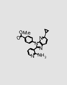 COC(=O)c1ccc(-n2c(-c3cccnc3N)nc3ccc(C4CC4)nc32)cc1